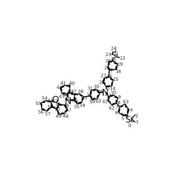 C[Si](C)(C)c1ccc(-c2ccc(N(c3ccc(-c4ccc([Si](C)(C)C)cc4)cc3)c3ccc(-c4ccc5c(c4)c4ccccc4n5-c4cccc5c4oc4ccccc45)cc3)cc2)cc1